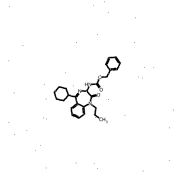 CCCN1C(=O)C(NC(=O)OCc2ccccc2)N=C(C2CCCCC2)c2ccccc21